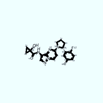 O=C(Nc1cnn2ccc(N3CCC[C@@H]3c3cc(F)ccc3F)nc12)C1(O)CC1